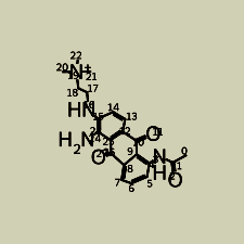 CC(=O)Nc1cccc2c1C(=O)c1ccc(NCC[N+](C)(C)C)c(N)c1C2=O